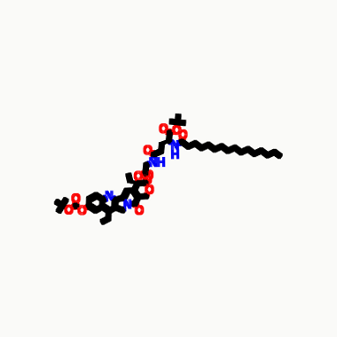 CCCCCCCCCCCCCCCC(=O)N[C@@H](CCC(=O)NCC(=O)O[C@]1(CC)C(=O)OCc2c1cc1n(c2=O)Cc2c-1nc1ccc(OC(=O)OC(C)(C)C)cc1c2CC)C(=O)OC(C)(C)C